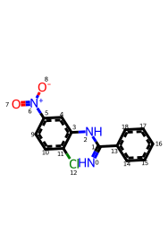 N=C(Nc1cc([N+](=O)[O-])ccc1Cl)c1ccccc1